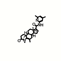 CC1=C2N(C)C(=O)CC[C@]2(C)[C@@H]2CC[C@]3(C)C(C(=O)Nc4cc(C)cc(C)n4)CC[C@H]3[C@@H]2C1